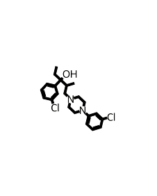 CCC(O)(c1cccc(Cl)c1)C(C)CN1CCN(c2cccc(Cl)c2)CC1